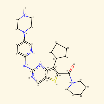 CN1CCN(c2ccc(Nc3ncc4sc(C(=O)N5CCCCC5)c(C5CCCC5)c4n3)nc2)CC1